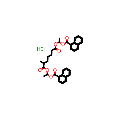 CC(OC(=O)CCCCC(C)C(=O)OC(C)OC(=O)c1cccc2ccccc12)OC(=O)c1cccc2ccccc12.Cl